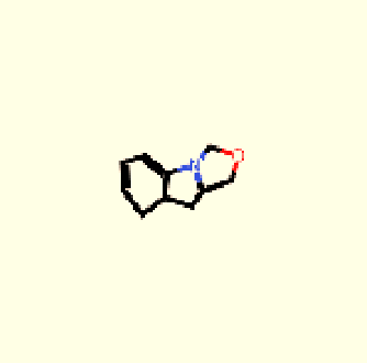 [CH]1OCN2C3=CC=CCC3CC12